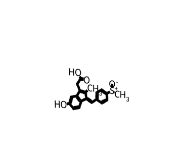 CC1=C(CC(=O)O)c2cc(O)ccc2/C1=C/c1ccc([S+](C)[O-])cc1